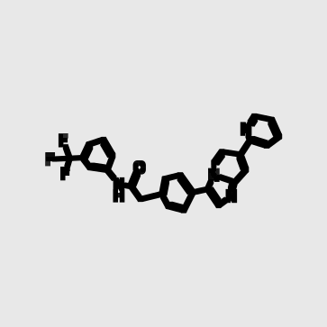 O=C(Cc1ccc(-c2cnc3cc(-c4ccccn4)ccn23)cc1)Nc1cccc(C(F)(F)F)c1